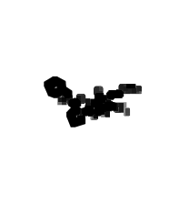 COCCn1c(C(F)(F)F)nc2sc(N3CCC[C@@H]3C(=O)NCc3ccccc3)nc2c1=O